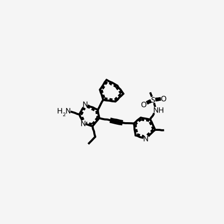 CCc1nc(N)nc(-c2ccccc2)c1C#Cc1cnc(C)c(NS(C)(=O)=O)c1